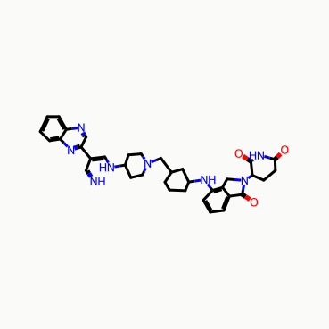 N=C/C(=C\NC1CCN(CC2CCCC(Nc3cccc4c3CN(C3CCC(=O)NC3=O)C4=O)C2)CC1)c1cnc2ccccc2n1